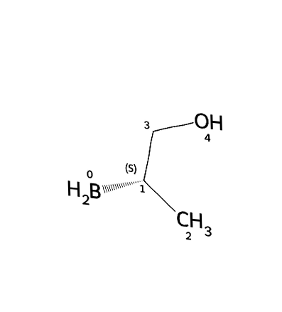 B[C@@H](C)CO